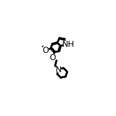 COc1cc2cc[nH]c2cc1OCCN1CCCCC1